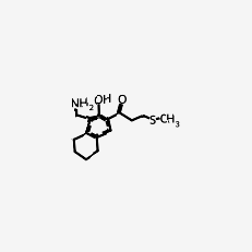 CSCCC(=O)c1cc2c(c(CN)c1O)CCCC2